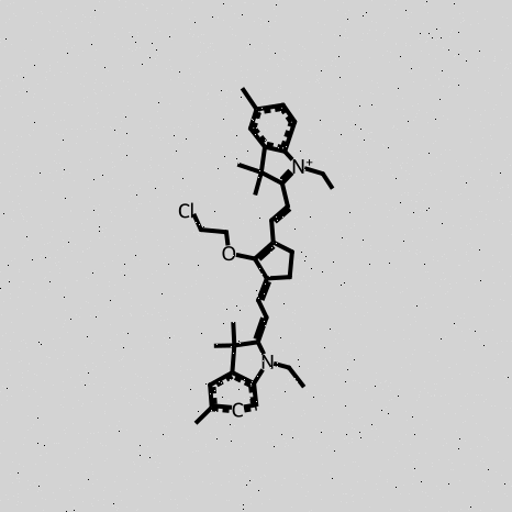 CCN1/C(=C/C=C2\CCC(/C=C/C3=[N+](CC)c4ccc(C)cc4C3(C)C)=C2OCCCl)C(C)(C)c2cc(C)ccc21